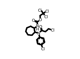 O=C(NC1CCCCCC1N(C(=O)CCCl)c1ccc(Cl)cc1)OCC(Cl)(Cl)Cl